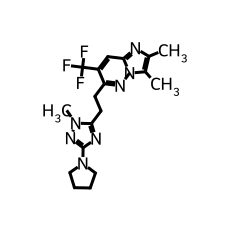 Cc1nc2cc(C(F)(F)F)c(CCc3nc(N4CCCC4)nn3C)nn2c1C